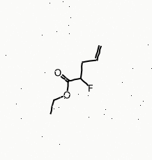 C=CCC(F)C(=O)OCC